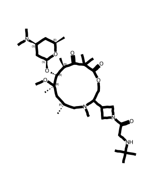 CO[C@]1(C)C[C@@H](C)CN(C)C(C2CN(C(=O)CNC(C)(C)C)C2)COC(=O)C(C)(C)C(=O)[C@H](C)[C@H]1O[C@H]1C[C@@H](N(C)C)C[C@@H](C)O1